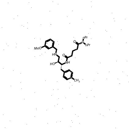 CCCN(CCC)C(=O)CCCC(=O)N[C@H](Cc1ccc(C)cc1)[C@@H](O)CNCc1cccc(OC)c1